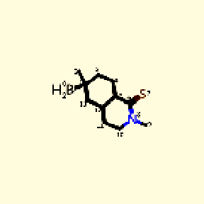 BC1(C)CCC2C(=S)N(C)CCC2C1